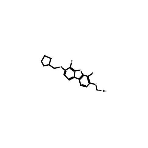 CC[C@H](C)COc1ccc2c(sc3c(F)c(OCC4CCCC4)ccc32)c1F